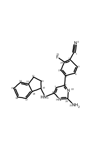 N#Cc1ccc(-c2cc(NC3CCc4ccccc43)nc(N)n2)cc1F